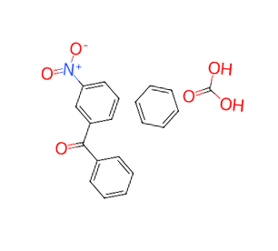 O=C(O)O.O=C(c1ccccc1)c1cccc([N+](=O)[O-])c1.c1ccccc1